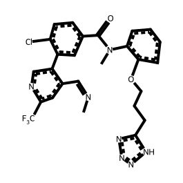 C/N=C\c1cc(C(F)(F)F)ncc1-c1cc(C(=O)N(C)c2ccccc2OCCCc2nnn[nH]2)ccc1Cl